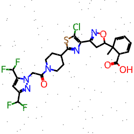 CC1(C2CC(c3nc(C4CCN(C(=O)Cn5nc(C(F)F)cc5C(F)F)CC4)sc3Cl)=NO2)C=CC=CC1C(=O)O